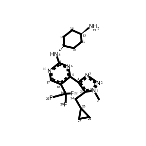 Cn1nnc(-c2nc(N[C@H]3CC[C@H](N)CC3)ncc2C(F)(F)F)c1CC1CC1